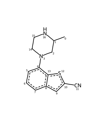 CC1CN(c2cccc3cc(C#N)sc23)CCN1